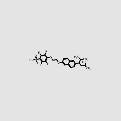 CC(C)CC(c1ccc2cc(OCCOc3c(F)c(F)c(S(=O)(=O)O)c(F)c3F)ccc2c1)C(C)C